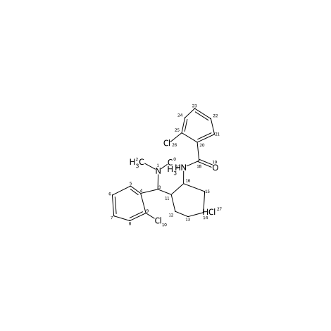 CN(C)C(c1ccccc1Cl)C1CCCCC1NC(=O)c1ccccc1Cl.Cl